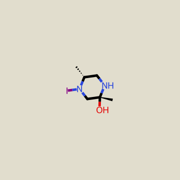 C[C@@H]1CN[C@](C)(O)CN1I